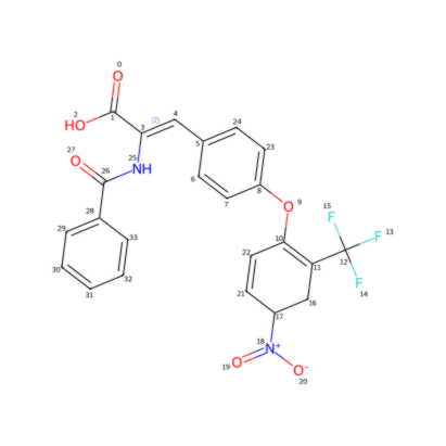 O=C(O)/C(=C/c1ccc(OC2=C(C(F)(F)F)CC([N+](=O)[O-])C=C2)cc1)NC(=O)c1ccccc1